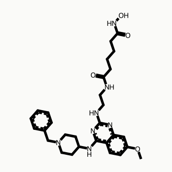 COc1ccc2c(NC3CCN(Cc4ccccc4)CC3)nc(NCCNC(=O)CCCCC(=O)NO)nc2c1